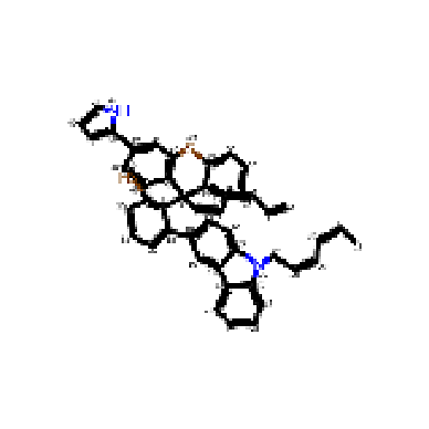 C=C/C=C\C=C/C1(c2c(S)cccc2-c2ccc3c(c2)c2ccccc2n3C/C=C\C=C/C)c2ccccc2Sc2cc(-c3ccc[nH]3)ccc21